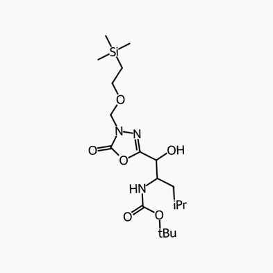 CC(C)CC(NC(=O)OC(C)(C)C)C(O)c1nn(COCC[Si](C)(C)C)c(=O)o1